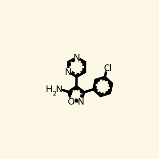 Nc1onc(-c2cccc(Cl)c2)c1-c1ccncn1